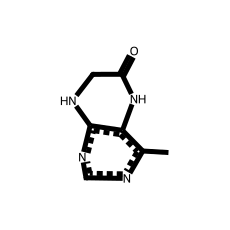 Cc1ncnc2c1NC(=O)CN2